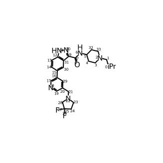 CC(C)CN1CCC(NC(=O)c2n[nH]c3ccc(-c4cncc(CN5CCC(F)(F)C5)c4)cc23)CC1